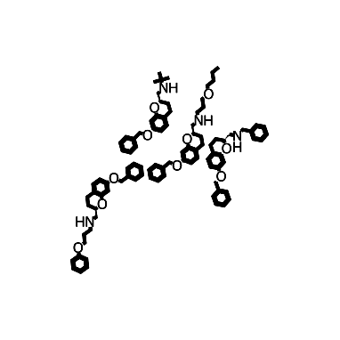 CC(C)(C)NC[C@H]1CCc2ccc(OCc3ccccc3)cc2O1.CCCCOCCCNC[C@H]1CCc2ccc(OCc3ccccc3)cc2O1.c1ccc(CNC[C@H]2CCc3ccc(OCc4ccccc4)cc3O2)cc1.c1ccc(COc2ccc3c(c2)O[C@@H](CNCCCOc2ccccc2)CC3)cc1